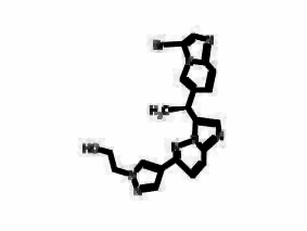 C[C@@H](c1ccc2ncc(Br)n2c1)c1cnc2ccc(-c3cnn(CCO)c3)nn12